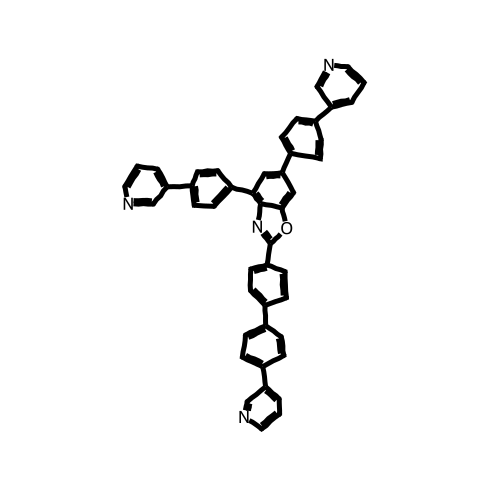 c1cncc(-c2ccc(-c3ccc(-c4nc5c(-c6ccc(-c7cccnc7)cc6)cc(-c6ccc(-c7cccnc7)cc6)cc5o4)cc3)cc2)c1